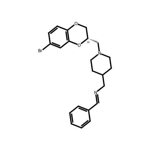 Brc1ccc2c(c1)O[C@@H](CN1CCC(CN=Cc3ccccc3)CC1)CO2